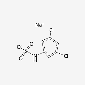 O=S(=O)([O-])Nc1cc(Cl)cc(Cl)c1.[Na+]